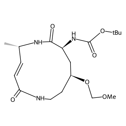 COCO[C@H]1CCNC(=O)/C=C/[C@H](C)NC(=O)[C@@H](NC(=O)OC(C)(C)C)C1